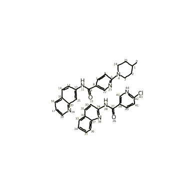 CC1CCN(c2ccc(C(=O)Nc3ccc4cccnc4c3)cn2)CC1.O=C(Nc1ccc2ccccc2n1)c1ccc(Cl)nc1